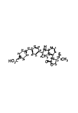 C[C@H](Nc1nccc(N2C(=O)OC[C@@H]2[C@@H](C)F)n1)c1ccc(CN2CCN(C(=O)O)CC2)cc1